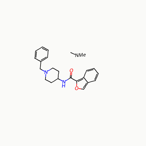 CNC.O=C(NC1CCN(Cc2ccccc2)CC1)c1occ2ccccc12